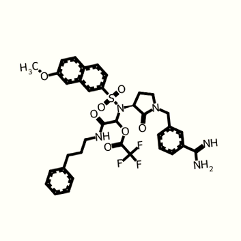 COc1ccc2ccc(S(=O)(=O)N(C(OC(=O)C(F)(F)F)C(=O)NCCCc3ccccc3)[C@H]3CCN(Cc4cccc(C(=N)N)c4)C3=O)cc2c1